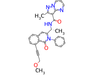 COCC#Cc1cccc2cc([C@@H](C)NC(=O)c3c(C)nn4cccnc34)n(-c3ccccc3)c(=O)c12